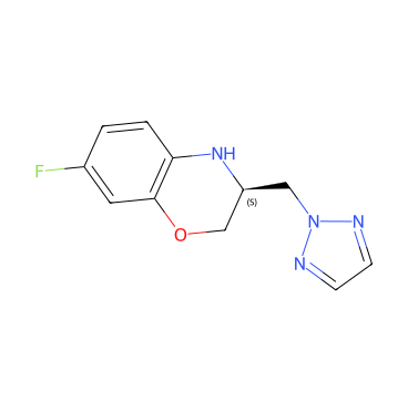 Fc1ccc2c(c1)OC[C@H](Cn1nccn1)N2